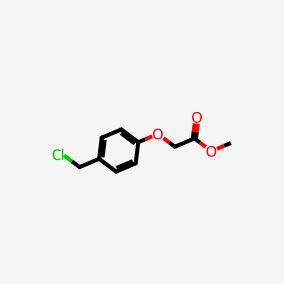 COC(=O)COc1ccc(CCl)cc1